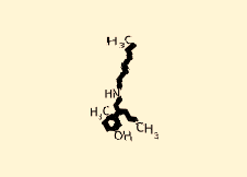 CCC/C=C(/CCNCCCCCCCC)c1cc(O)ccc1C